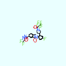 O=C1c2cc(-c3nnc(C(F)F)o3)ccc2CN1c1ccc(F)cc1C1CCN(C(=O)C(F)(F)C(F)(F)F)CC1